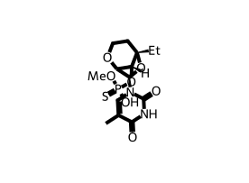 CC[C@@]12CCOC([C@H](n3cc(C)c(=O)[nH]c3=O)O1)[C@H]2OP(O)(=S)OC